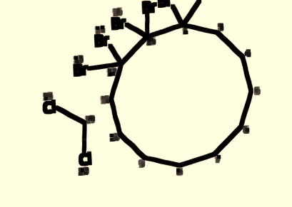 BrC1(Br)CCCCCCCCCC(Br)(Br)C1(Br)Br.ClCCl